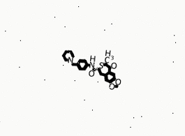 C[C@@H]1S[C@@H](C(=O)Nc2ccc(CN3CCCCC3)cc2)Cc2cc3c(cc2C1=O)OCO3